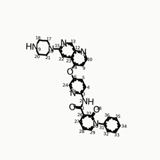 O=C(Nc1ccc(Oc2ccnc3cnc(N4CCNCC4)cc23)cn1)c1cccn(-c2ccccc2)c1=O